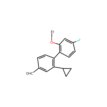 CCOc1cc(F)ccc1-c1ccc(C=O)cc1C1CC1